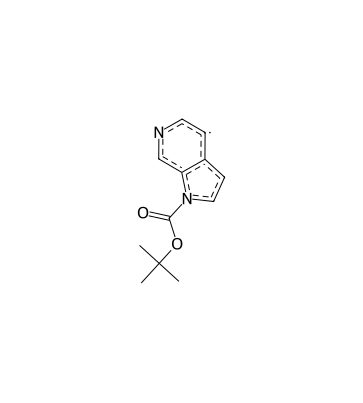 CC(C)(C)OC(=O)n1ccc2[c]cncc21